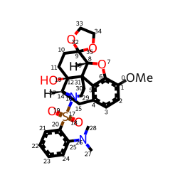 COc1ccc2c3c1O[C@H]1C4(CC[C@@]5(O)[C@@H](C2)N(S(=O)(=O)c2ccccc2N(C)C)CCC315)OCCO4